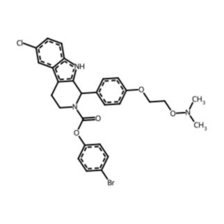 CN(C)OCCOc1ccc(C2c3[nH]c4ccc(Cl)cc4c3CCN2C(=O)Oc2ccc(Br)cc2)cc1